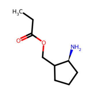 CCC(=O)OCC1CCC[C@@H]1N